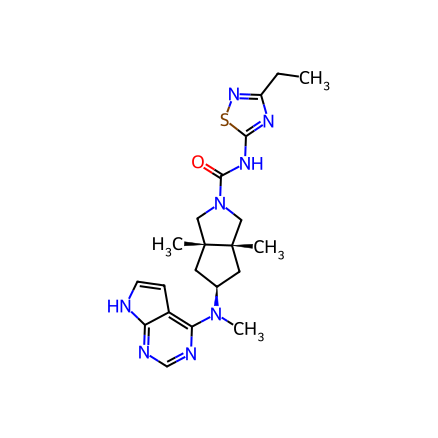 CCc1nsc(NC(=O)N2C[C@]3(C)C[C@@H](N(C)c4ncnc5[nH]ccc45)C[C@]3(C)C2)n1